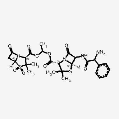 CC(OC(=O)[C@@H]1N2C(=O)C(NC(=O)C(N)c3ccccc3)[C@H]2SC1(C)C)OC(=O)[C@@H]1N2C(=O)C[C@H]2S(=O)(=O)C1(C)C